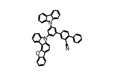 N#Cc1cc(-c2cc(-n3c4ccccc4c4ccccc43)cc(-n3c4ccccc4c4c5oc6ccccc6c5ccc43)c2)ccc1-c1ccccc1